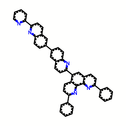 c1ccc(-c2ccc3cc(-c4ccc5cc(-c6ccc7nc(-c8ccccn8)ccc7c6)ccc5n4)c4ccc(-c5ccccc5)nc4c3n2)cc1